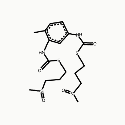 Cc1ccc(NC(=O)SCCC[Si](C)=O)cc1NC(=O)SCCC[Si](C)=O